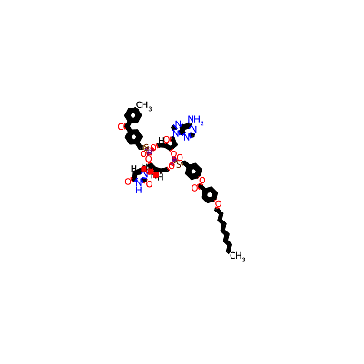 CCCCCCCCCCOc1ccc(C(=O)Oc2ccc(CSP3(=O)OC[C@H]4O[C@@H](n5ccc(=O)[nH]c5=O)[C@H](OP(=O)(SCc5ccc(C(=O)c6ccc(C)cc6)cc5)OC[C@H]5O[C@@H](n6cnc7c(N)ncnc76)CC5O3)[C@@H]4OC)cc2)cc1